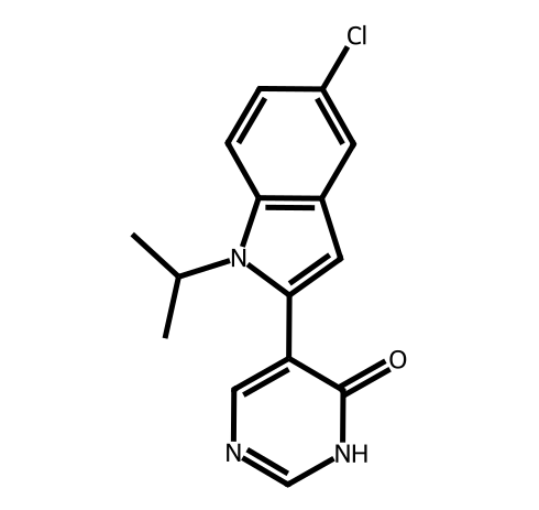 CC(C)n1c(-c2cnc[nH]c2=O)cc2cc(Cl)ccc21